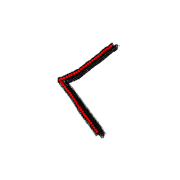 [Ag].[Ag].[Ag].[Ag].[Ag].[Ag].[Ag].[Ag].[Ag].[Ag].[Ag].[Ag].[Ag].[Ag].[Ag].[Ag].[Ag].[Ag].[Ag].[Ag].[Ag].[Ag].[Ag].[Ag].[Ag].[Ag].[Ag].[Ag].[Ag].[Ag].[Ag].[Ag].[Ag].[Ag].[Ag].[Ag].[Ag].[Ag].[Ag].[Ag].[Ag].[Ag].[Ag].[Ag].[Ag].[Ag].[Ag].[Ag].[Ag].[Ag].[Ag].[Ag].[Ag].[Ag].[Ag].[Ag].[Ag].[Ag].[Ag].[Ag].[Ag].[Ag].[Ag].[Ag].[Ag].[Ag].[Ag].[Ag].[Ag].[Ag].[Ag].[Ag].[Ag].[Ag].[Ag].[Ag].[Ag].[Ag].[Ag].[Ag].[Ag].[Ag].[Ag].[Ag].[Ag].[Ag].[Ag].[Ag].[Ag].[Ag].[Ag].[Ag].[Ag].[Ag].[Ag].[Ag].[Ag].[Pd].[Pd].[Pd]